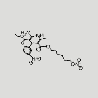 CCOC(=O)C1=C(N)NC(C)=C(C(=O)OCCCCCCO[N+](=O)[O-])C1c1cccc([N+](=O)[O-])c1